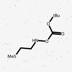 CSCCNOC(=O)OC(C)(C)C